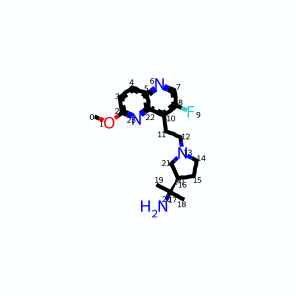 COc1ccc2ncc(F)c(CCN3CC[C@@H](C(C)(C)N)C3)c2n1